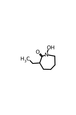 CCC1CCCCN(O)C1=O